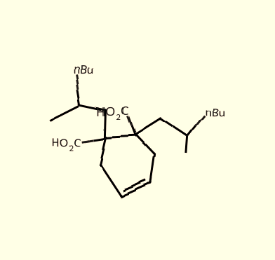 CCCCC(C)CC1(C(=O)O)CC=CCC1(CC(C)CCCC)C(=O)O